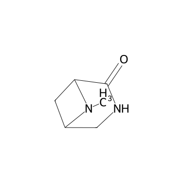 CN1C2CNC(=O)C1C2